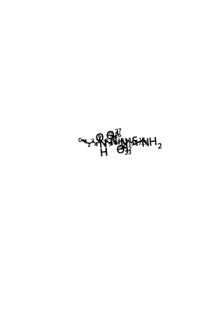 C#CCCCC(=O)NCCN(CCN(CCSCCN)C(=O)CC)C(=O)CC